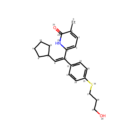 CCc1ccc(/C(=C\C2CCCC2)c2ccc(SCCCO)cc2)[nH]c1=O